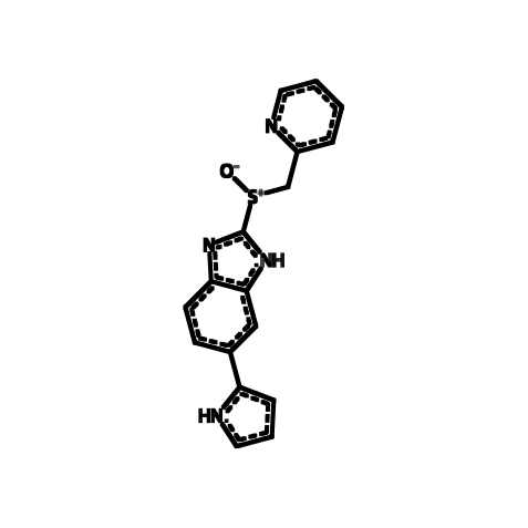 [O-][S+](Cc1ccccn1)c1nc2ccc(-c3ccc[nH]3)cc2[nH]1